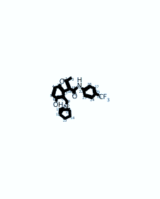 Cc1oc2ccc(O)c(CN3CC4CCC3C4)c2c1C(=O)Nc1ccc(C(F)(F)F)cc1